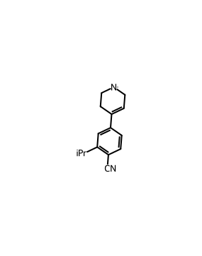 CC(C)c1cc(C2=CC[N]CC2)ccc1C#N